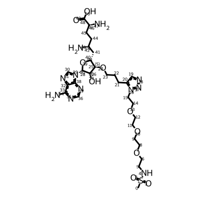 CS(=O)(=O)NCCOCCOCCOCCn1nncc1CCCO[C@H]1[C@@H](O)[C@H](n2cnc3c(N)ncnc32)O[C@@H]1C[C@@H](N)CC[C@H](N)C(=O)O